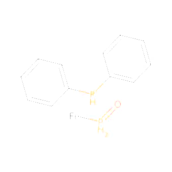 O=[PH2][Fe].c1ccc(Pc2ccccc2)cc1